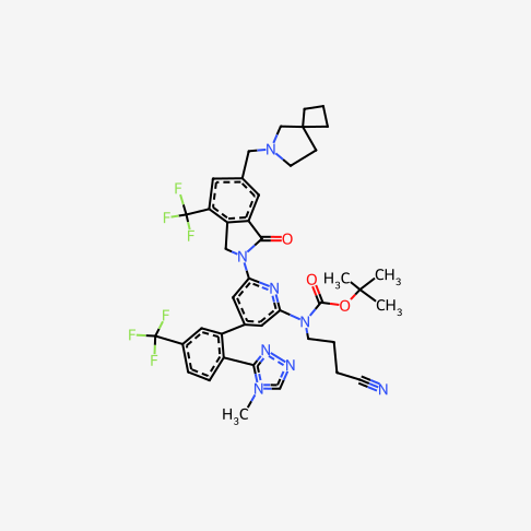 Cn1cnnc1-c1ccc(C(F)(F)F)cc1-c1cc(N(CCCC#N)C(=O)OC(C)(C)C)nc(N2Cc3c(cc(CN4CCC5(CCC5)C4)cc3C(F)(F)F)C2=O)c1